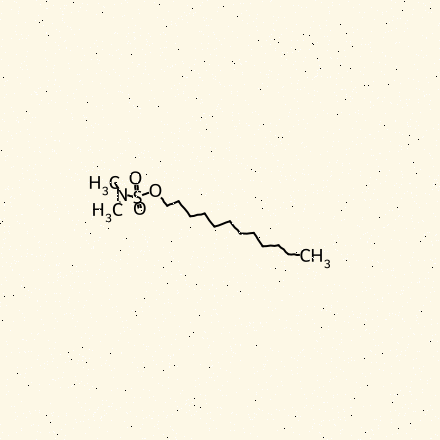 CCCCCCCCCCCCOS(=O)(=O)N(C)C